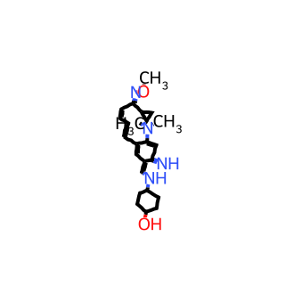 CO/N=C(/C=C\C=C\C1=CC(=C/NC2CCC(O)CC2)/C(=N)C=C1N(C)C)C1CC1